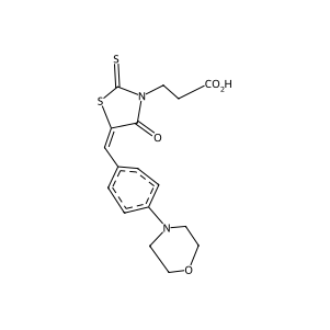 O=C(O)CCN1C(=O)/C(=C\c2ccc(N3CCOCC3)cc2)SC1=S